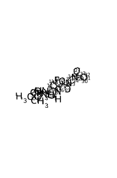 CC(C)(C)OC(=O)NNC(=O)c1ccc(F)c2c(C(=O)C(=O)N3CCN(C(=O)c4ccccc4)CC3)c[nH]c12